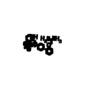 BC(B)COc1ccccc1[C@H]1CC[C@@H](OC[C@@H]2NCCC[C@@H]2NS(C)(=O)=O)CC1